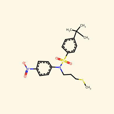 CSCCCN(c1ccc([N+](=O)[O-])cc1)S(=O)(=O)c1ccc(C(C)(C)C)cc1